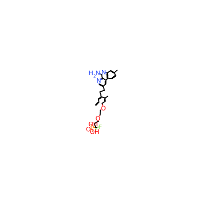 C=C/C=C(CCc1cnc2c(N)nc3cc(C)ccc3c2c1)\C(C)=C/COCCOCCC(F)(F)P(=O)(O)O